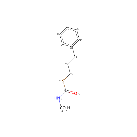 O=C(O)NC(=O)SCCCc1ccccc1